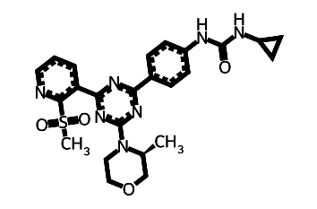 C[C@H]1COCCN1c1nc(-c2ccc(NC(=O)NC3CC3)cc2)nc(-c2cccnc2S(C)(=O)=O)n1